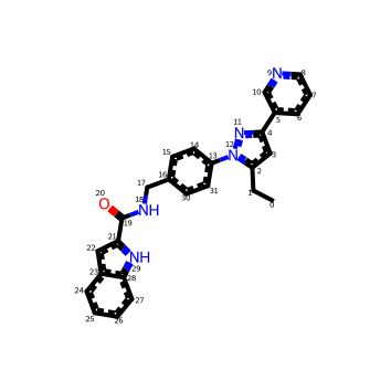 CCc1cc(-c2cccnc2)nn1-c1ccc(CNC(=O)c2cc3ccccc3[nH]2)cc1